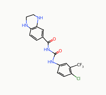 O=C(NC(=O)c1ccc2c(c1)NCCN2)Nc1ccc(Cl)c(C(F)(F)F)c1